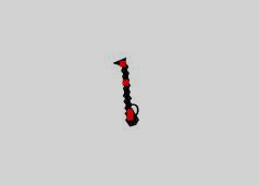 O=C(CCCCCCCCCCCCCCC1CC1)CC1=CCCCC1